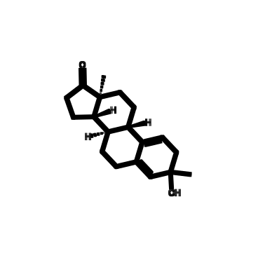 CC1(O)C=C2CC[C@@H]3[C@H](CC[C@]4(C)C(=O)CC[C@@H]34)C2=CC1